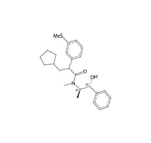 CSc1cccc(C(CC2CCCC2)C(=O)N(C)[C@H](C)[C@H](O)c2ccccc2)c1